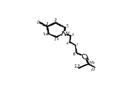 CC1CCN(CCCCOC(C)C)CC1